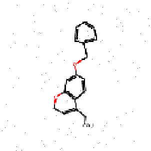 O=C(O)CC1=CCOc2cc(OCc3ccccc3)ccc21